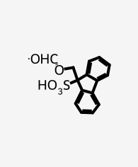 O=[C]OCC1(S(=O)(=O)O)c2ccccc2-c2ccccc21